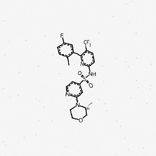 Cc1ccc(F)cc1-c1nc(NS(=O)(=O)c2ccnc(N3CCOC[C@H]3C)c2)ccc1C(F)(F)F